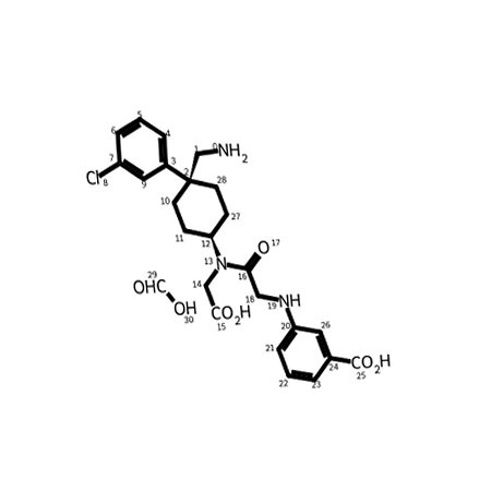 NC[C@]1(c2cccc(Cl)c2)CC[C@H](N(CC(=O)O)C(=O)CNc2cccc(C(=O)O)c2)CC1.O=CO